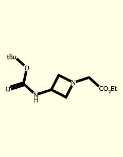 CCOC(=O)CN1CC(NC(=O)OC(C)(C)C)C1